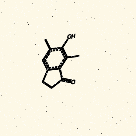 Cc1cc2c(c(C)c1O)C(=O)CC2